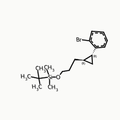 CC(C)(C)[Si](C)(C)OCCC[C@@H]1C[C@H]1c1ccccc1Br